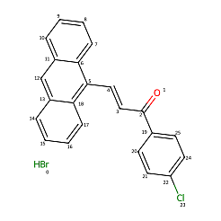 Br.O=C(C=Cc1c2ccccc2cc2ccccc12)c1ccc(Cl)cc1